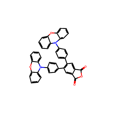 O=C1OC(=O)c2cc(-c3ccc(N4c5ccccc5Oc5ccccc54)cc3)c(-c3ccc(N4c5ccccc5Oc5ccccc54)cc3)cc21